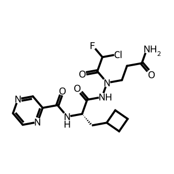 NC(=O)CCN(NC(=O)[C@H](CC1CCC1)NC(=O)c1cnccn1)C(=O)C(F)Cl